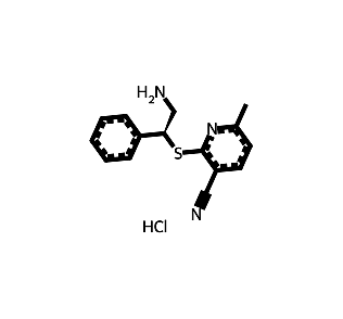 Cc1ccc(C#N)c(S[C@H](CN)c2ccccc2)n1.Cl